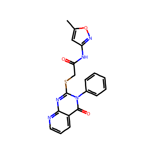 Cc1cc(NC(=O)CSc2nc3ncccc3c(=O)n2-c2ccccc2)no1